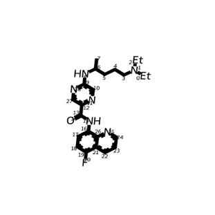 CCN(CC)CCCC(C)Nc1cnc(C(=O)Nc2ccc(F)c3cccnc23)cn1